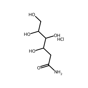 Cl.NC(=O)CC(O)C(O)C(O)CO